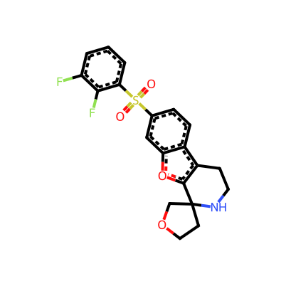 O=S(=O)(c1ccc2c3c(oc2c1)C1(CCOC1)NCC3)c1cccc(F)c1F